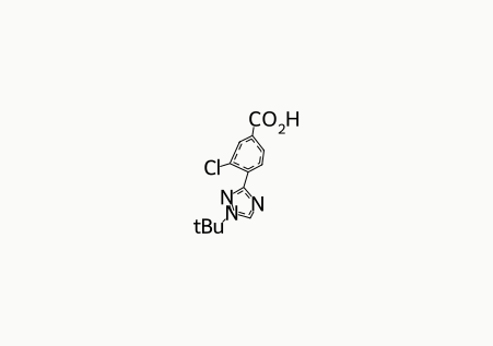 CC(C)(C)n1cnc(-c2ccc(C(=O)O)cc2Cl)n1